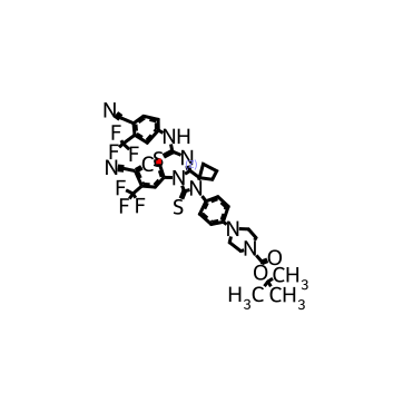 CC(C)(C)OC(=O)N1CCN(c2ccc(N3C(=S)N(c4ccc(C#N)c(C(F)(F)F)c4)/C(=N\C(=S)Nc4ccc(C#N)c(C(F)(F)F)c4)C34CCC4)cc2)CC1